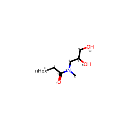 CCCCCCCC(=O)N(C)CC(O)CO